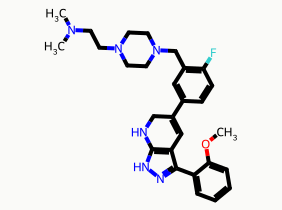 COc1ccccc1-c1n[nH]c2c1C=C(c1ccc(F)c(CN3CCN(CCN(C)C)CC3)c1)CN2